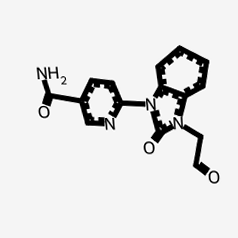 NC(=O)c1ccc(-n2c(=O)n(CC=O)c3ccccc32)nc1